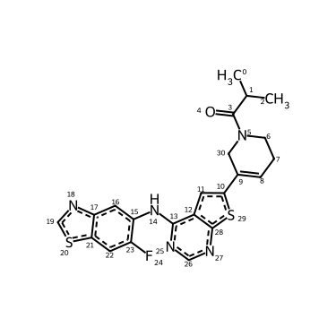 CC(C)C(=O)N1CCC=C(c2cc3c(Nc4cc5ncsc5cc4F)ncnc3s2)C1